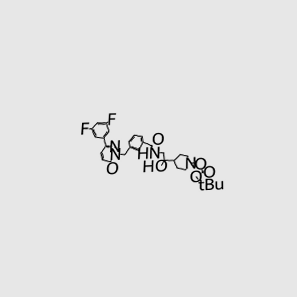 CC(C)(C)OC(=O)ON1CCC(C(O)CNC(=O)c2cccc(Cn3nc(-c4cc(F)cc(F)c4)ccc3=O)c2)CC1